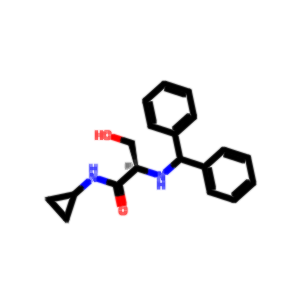 O=C(NC1CC1)[C@@H](CO)NC(c1ccccc1)c1ccccc1